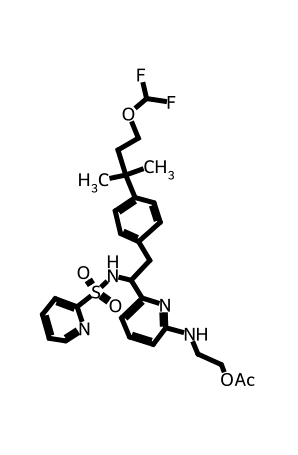 CC(=O)OCCNc1cccc(C(Cc2ccc(C(C)(C)CCOC(F)F)cc2)NS(=O)(=O)c2ccccn2)n1